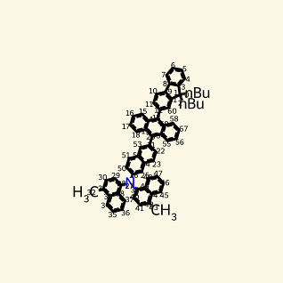 CCCCC1(CCCC)c2ccccc2-c2ccc(-c3c4ccccc4c(-c4ccc5cc(N(c6ccc(C)c7ccccc67)c6ccc(C)c7ccccc67)ccc5c4)c4ccccc34)cc21